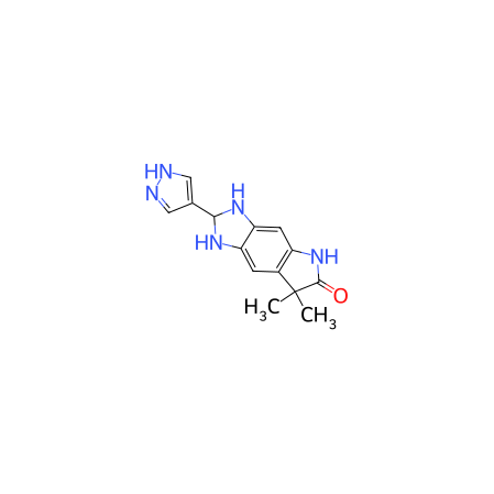 CC1(C)C(=O)Nc2cc3c(cc21)NC(c1cn[nH]c1)N3